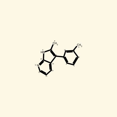 Cc1cccc(-c2c(C)[nH]c3ncccc23)c1